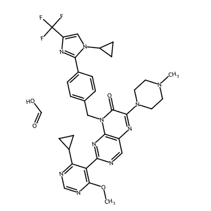 COc1ncnc(C2CC2)c1-c1ncc2nc(N3CCN(C)CC3)c(=O)n(Cc3ccc(-c4nc(C(F)(F)F)cn4C4CC4)cc3)c2n1.O=CO